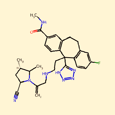 C=C(CNCCC1(c2nnn[nH]2)c2ccc(F)cc2CCc2cc(C(=O)NC)ccc21)N1C(C#N)C[C@H](C)C1C